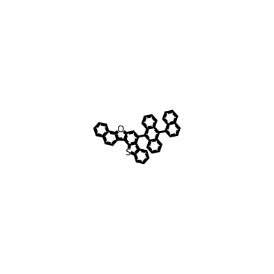 c1ccc2c(-c3c4ccccc4c(-c4cc5oc6c7ccccc7ccc6c5c5sc6ccccc6c45)c4ccccc34)cccc2c1